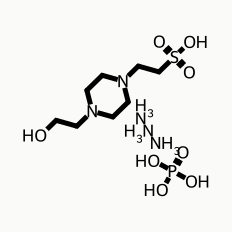 N.N.N.O=P(O)(O)O.O=S(=O)(O)CCN1CCN(CCO)CC1